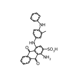 Cc1cc(Nc2cc(S(=O)(=O)O)c(N)c3c2C(=O)c2ccccc2C3=O)ccc1Nc1ccccc1